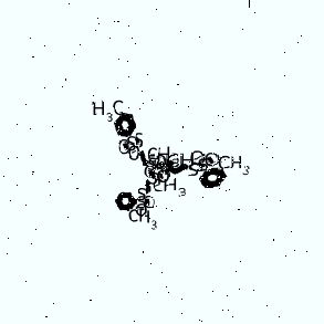 Cc1ccc(S(=O)(=S)OCC[Si]2(C)O[Si](C)(CCSS(=O)(=O)c3ccccc3C)O[Si](C)(CCSS(=O)(=O)c3ccccc3C)O2)cc1